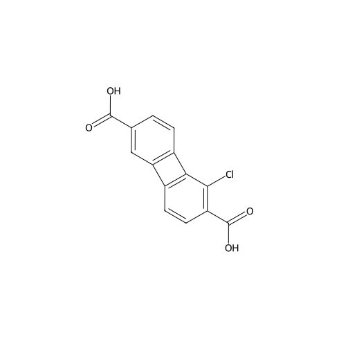 O=C(O)c1ccc2c(c1)-c1ccc(C(=O)O)c(Cl)c1-2